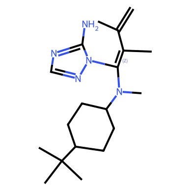 C=C(C)/C(C)=C(/N(C)C1CCC(C(C)(C)C)CC1)n1ncnc1N